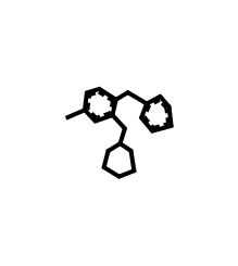 Cc1ccc(Cc2ccccc2)c(CC2CCCCC2)c1